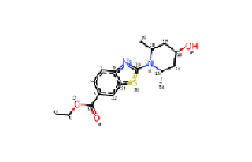 CCOC(=O)c1ccc2nc(N3[C@@H](C)CC(O)C[C@@H]3C)sc2c1